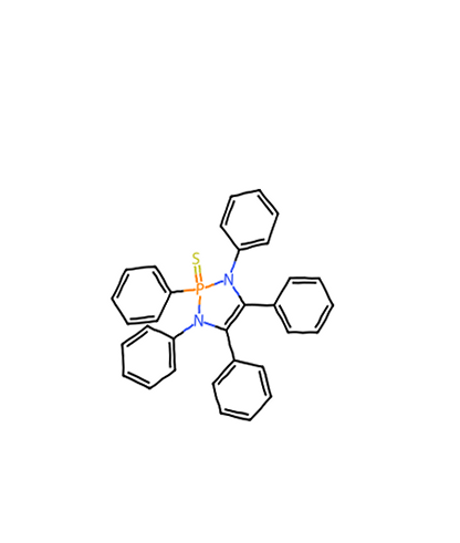 S=P1(c2ccccc2)N(c2ccccc2)C(c2ccccc2)=C(c2ccccc2)N1c1ccccc1